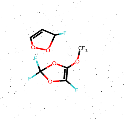 FC1=C(OC(F)(F)F)OC(F)(F)O1.FC1C=COO1